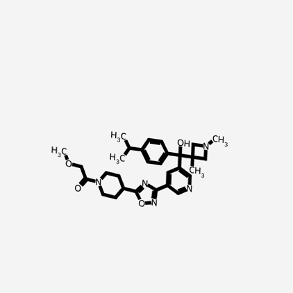 COCC(=O)N1CCC(c2nc(-c3cncc(C(O)(c4ccc(C(C)C)cc4)C4(C)CN(C)C4)c3)no2)CC1